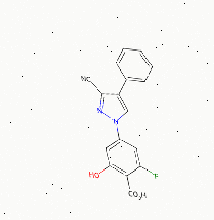 N#Cc1nn(-c2cc(O)c(C(=O)O)c(F)c2)cc1-c1ccccc1